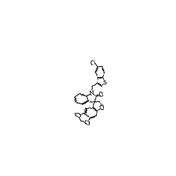 O=C1N(Cc2csc3ccc(Cl)cc23)c2ccccc2C12COc1cc3c(cc12)OCO3